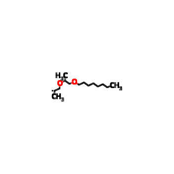 C[CH]COC(C)COCCCCCCCC